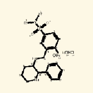 CCN(CC)S(=O)(=O)c1ccc(OC)c(CNC2CCCNC2c2ccccc2)c1.Cl.Cl